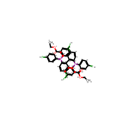 CCOC(=O)COc1c(Cl)ccc(P(c2ccc(F)cc2)c2ccc(F)cc2)c1-c1c(P(c2ccc(F)cc2)c2ccc(F)cc2)ccc(Cl)c1OCC(=O)OCC